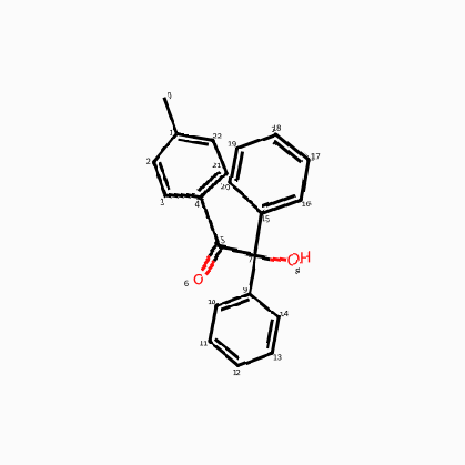 Cc1ccc(C(=O)C(O)(c2ccccc2)c2ccccc2)cc1